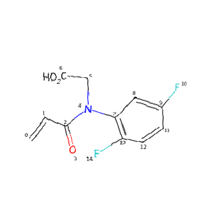 C=CC(=O)N(CC(=O)O)c1cc(F)ccc1F